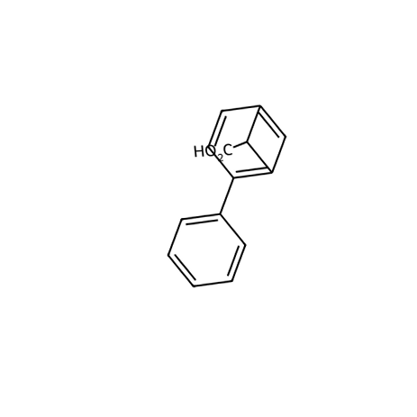 O=C(O)C1c2ccc(-c3ccccc3)c1c2